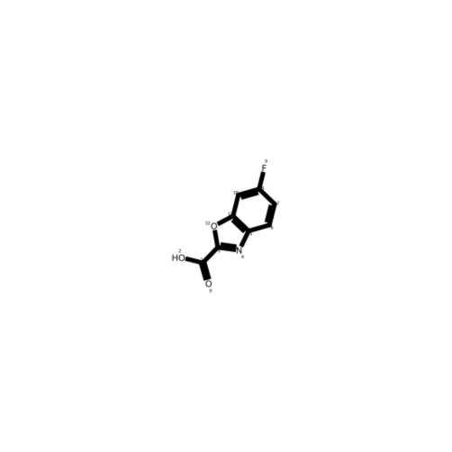 O=C(O)c1nc2ccc(F)cc2o1